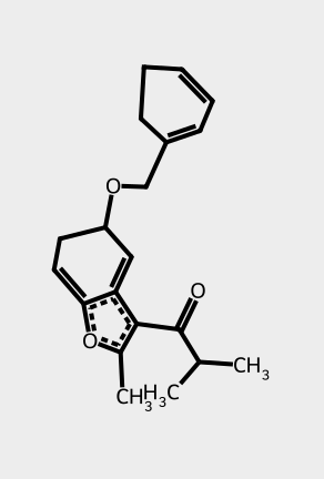 Cc1oc2c(c1C(=O)C(C)C)=CC(OCC1=CC=CCC1)CC=2